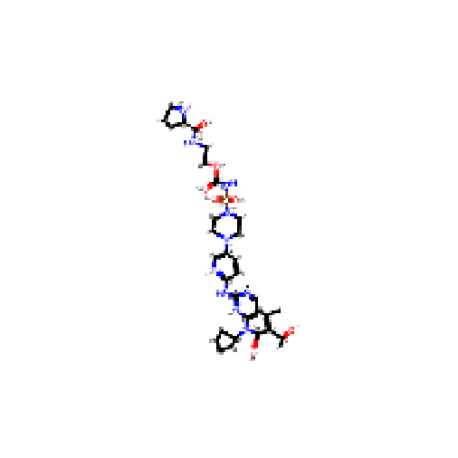 CC(=O)c1c(C)c2cnc(Nc3ccc(N4CCN(S(=O)(=O)NC(=O)OCCNC(=O)[C@H]5CCCN5)CC4)cn3)nc2n(C2CCCC2)c1=O